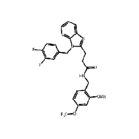 COc1cc(OC(F)(F)F)ccc1CNC(=O)CCc1nc2cccnc2n1Cc1ccc(F)c(F)c1